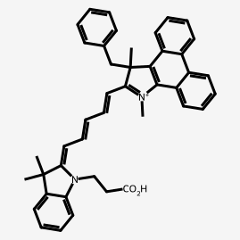 C[N+]1=C(/C=C/C=C/C=C2\N(CCC(=O)O)c3ccccc3C2(C)C)C(C)(Cc2ccccc2)c2c1c1ccccc1c1ccccc21